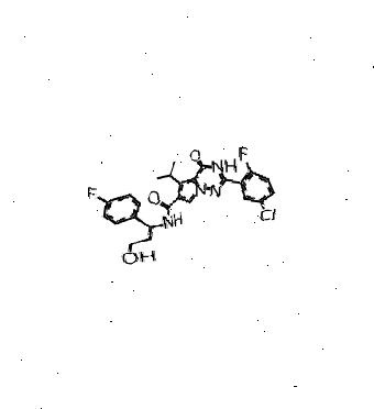 CC(C)c1c(C(=O)NC(CCO)c2ccc(F)cc2)cn2nc(-c3cc(Cl)ccc3F)[nH]c(=O)c12